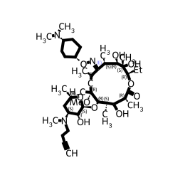 C#CCCN(C)[C@H]1C[C@@H](C)O[C@@H](O[C@@H]2[C@@H](C)C(O)[C@@H](C)C(=O)O[C@H](CC)[C@@](C)(O)[C@H](O)[C@@H](C)/C(=N/O[C@H]3CC[C@@H](N(C)C)CC3)[C@H](C)C[C@@]2(C)OC)[C@@H]1O